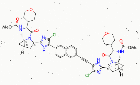 COC(=O)NC(C(=O)N1[C@@H]2C[C@@H]2C[C@H]1c1nc(Cl)c(C#Cc2ccc3cc(-c4[nH]c([C@@H]5C[C@H]6C[C@H]6N5C(=O)C(NC(=O)OC)C5CCOCC5)nc4Cl)ccc3c2)[nH]1)C1CCOCC1